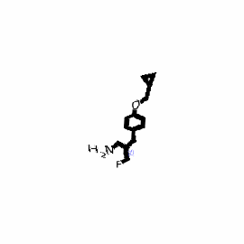 NC/C(=C\F)Cc1ccc(OCC2CC2)cc1